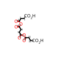 O=C(O)CCC(=O)OC(=O)CCC(=O)OC(=O)CCC(=O)O